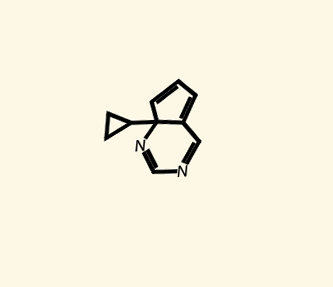 C1=CC2(C3CC3)N=CN=CC2=C1